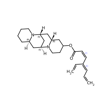 C=C/C=C(C=C)/C=C\C(=O)OC1CCN2[C@@H]3C[C@@H](C[C@@H]2C1)N1CCCC[C@@H]1C3